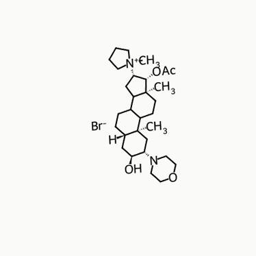 CC(=O)O[C@H]1[C@@H]([N+]2(C)CCCC2)CC2C3CC[C@H]4C[C@H](O)[C@@H](N5CCOCC5)C[C@]4(C)C3CC[C@@]21C.[Br-]